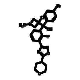 CC(C)c1ccc(C(O)(c2cccc(-c3noc(C4CCOCC4)n3)c2F)C2(C)CN(C)C2)cc1